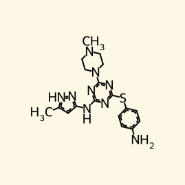 Cc1cc(Nc2nc(Sc3ccc(N)cc3)nc(N3CCN(C)CC3)n2)n[nH]1